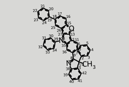 CC1(c2ccccc2)C(c2ccc3c4oc5ccc(-c6ccccc6)cc5c4n(-c4ccccc4)c3c2)=Nc2ccccc21